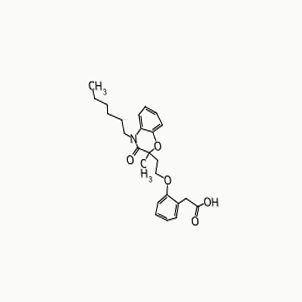 CCCCCCN1C(=O)C(C)(CCOc2ccccc2CC(=O)O)Oc2ccccc21